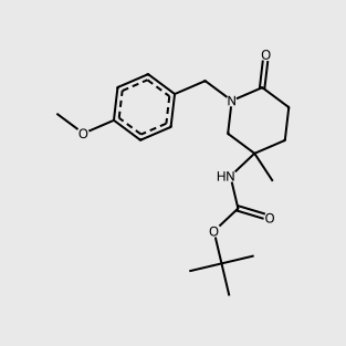 COc1ccc(CN2CC(C)(NC(=O)OC(C)(C)C)CCC2=O)cc1